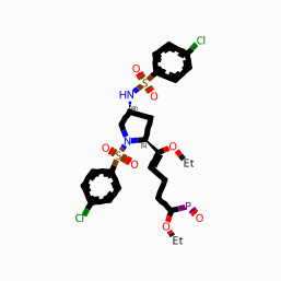 CCOC(=CCCC(OCC)P=O)[C@@H]1C[C@@H](NS(=O)(=O)c2ccc(Cl)cc2)CN1S(=O)(=O)c1ccc(Cl)cc1